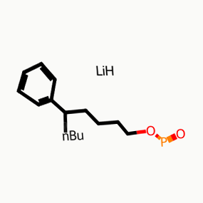 CCCCC(CCCCOP=O)c1ccccc1.[LiH]